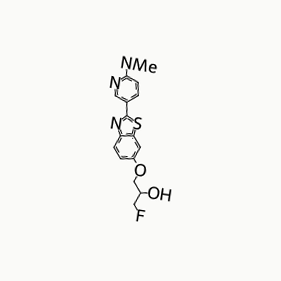 CNc1ccc(-c2nc3ccc(OCC(O)CF)cc3s2)cn1